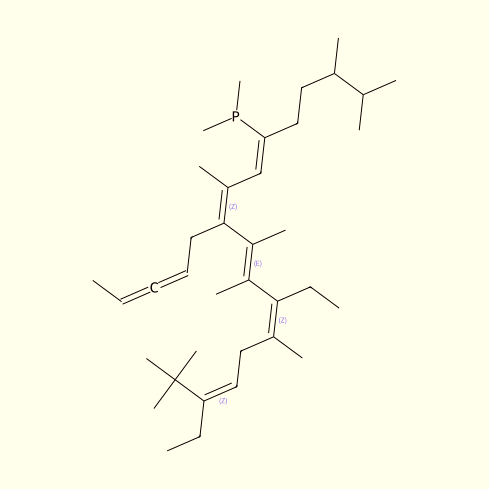 CC=C=CCC(=C(\C)C=C(CCC(C)C(C)C)P(C)C)/C(C)=C(C)/C(CC)=C(/C)C/C=C(/CC)C(C)(C)C